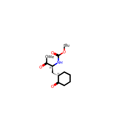 COC(=O)[C@H](C[C@@H]1CCCCC1=O)NC(=O)OC(C)(C)C